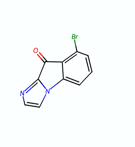 O=C1c2c(Br)cccc2-n2ccnc21